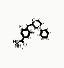 NNC(=O)c1cc(F)c(CC2CN(c3ccccc3)CCO2)c(F)c1